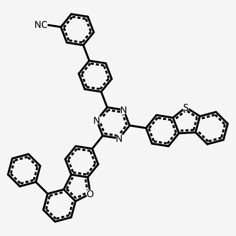 N#Cc1cccc(-c2ccc(-c3nc(-c4ccc5c(c4)oc4cccc(-c6ccccc6)c45)nc(-c4ccc5c(c4)sc4ccccc45)n3)cc2)c1